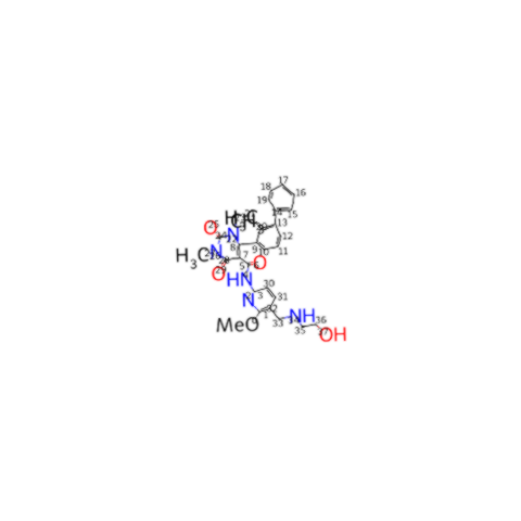 COc1nc(NC(=O)c2c(-c3cccc(-c4ccccc4)c3C)n(C)c(=O)n(C)c2=O)ccc1CNCCO